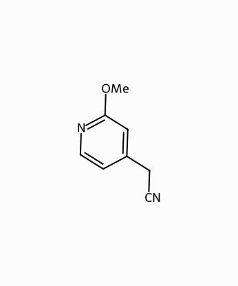 COc1cc(CC#N)ccn1